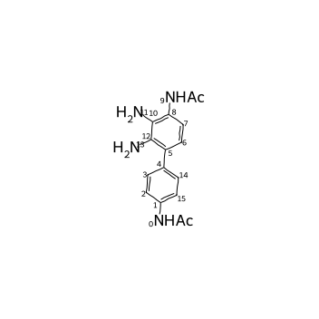 CC(=O)Nc1ccc(-c2ccc(NC(C)=O)c(N)c2N)cc1